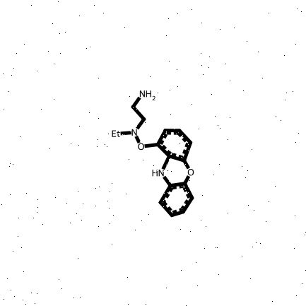 CCN(CCN)Oc1cccc2c1Nc1ccccc1O2